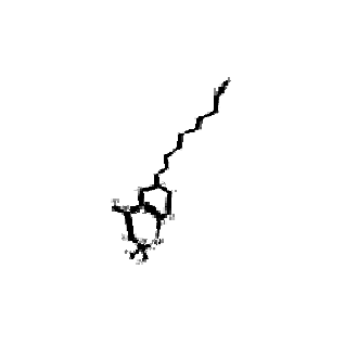 CCCCCCCCCCc1ccc2c(c1)C(C)=CC(C)(C)N2